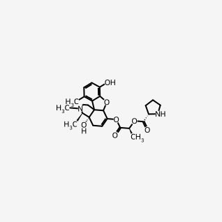 Cc1ccc(O)c2c1C13CCN(C)[C@H](C)[C@]1(O)CC=C(OC(=O)[C@H](C)OC(=O)[C@@H]1CCCN1)C3O2